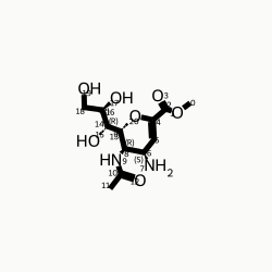 COC(=O)C1=C[C@H](N)[C@@H](NC(C)=O)[C@H]([C@H](O)[C@H](O)CO)O1